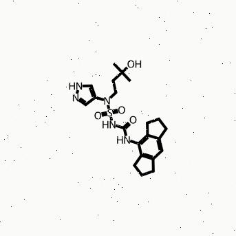 CC(C)(O)CCN(c1cn[nH]c1)S(=O)(=O)NC(=O)Nc1c2c(cc3c1CCC3)CCC2